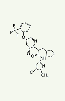 Cn1nc(NC(=O)C(CC2CCCC2)n2ncc(Oc3ccccc3C(F)(F)F)cc2=O)cc1Cl